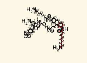 CN(CCOCCN(C)C(=O)[C@@H]1C[C@H](N)CN1C(=O)c1ccc(S(=O)(=O)F)cc1)C(=O)CCC12c3cc(NC(=O)CCCCCCCN)ccc3C(c3ccc(NC(=O)CCCCCCCN)cc31)c1ccc(NC(=O)CCCCCCCN)cc12